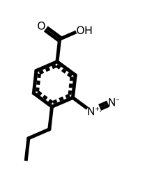 CCCc1ccc(C(=O)O)cc1[N+]=[N-]